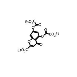 CCOC(=O)C(=O)Oc1cc(OC(=O)C(=O)OCC)c2c(=O)cc(C(=O)OCC)oc2c1